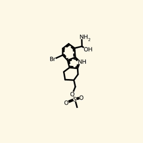 CS(=O)(=O)OCC1CCc2c([nH]c3c(C(N)O)ccc(Br)c23)C1